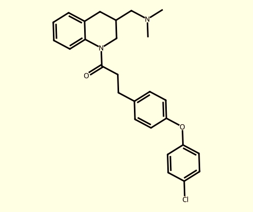 CN(C)CC1Cc2ccccc2N(C(=O)CCc2ccc(Oc3ccc(Cl)cc3)cc2)C1